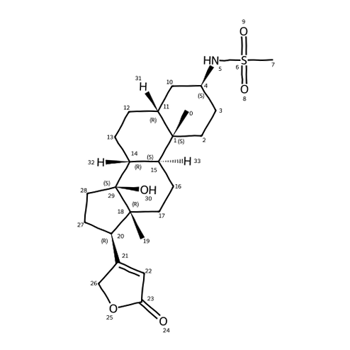 C[C@]12CC[C@H](NS(C)(=O)=O)C[C@H]1CC[C@@H]1[C@@H]2CC[C@]2(C)[C@@H](C3=CC(=O)OC3)CC[C@]12O